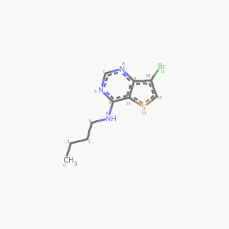 CCCCNc1ncnc2c(Br)csc12